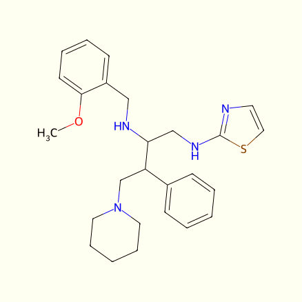 COc1ccccc1CNC(CNc1nccs1)C(CN1CCCCC1)c1ccccc1